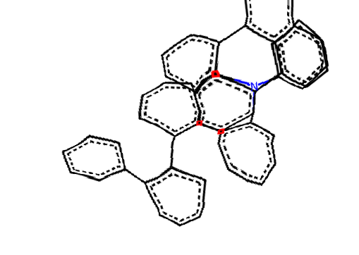 c1ccc(-c2ccccc2-c2ccccc2-c2ccccc2N(c2ccccc2)c2ccccc2-c2cccc3cccc(-c4ccccc4)c23)cc1